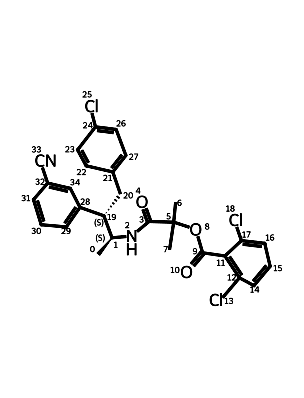 C[C@H](NC(=O)C(C)(C)OC(=O)c1c(Cl)cccc1Cl)[C@@H](Cc1ccc(Cl)cc1)c1cccc(C#N)c1